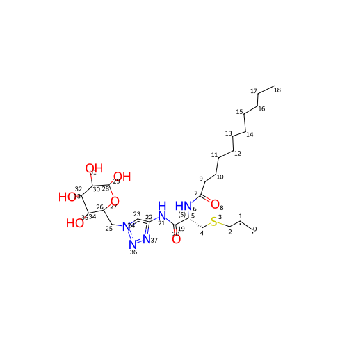 [CH2][CH]CSC[C@@H](NC(=O)CCCCCCCCCC)C(=O)Nc1cn(CC2OC(O)C(O)C(O)C2O)nn1